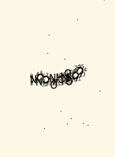 CN(C)c1ccc2cc(NC(=O)C3CCN(S(=O)(=O)c4ccc5ccccc5c4)CC3)ccc2n1